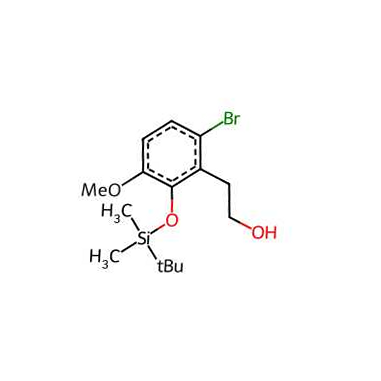 COc1ccc(Br)c(CCO)c1O[Si](C)(C)C(C)(C)C